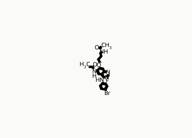 C=CC(=O)Nc1cc2c(Nc3ccc(Br)cc3F)ncnc2cc1OCCCCNC(C)=O